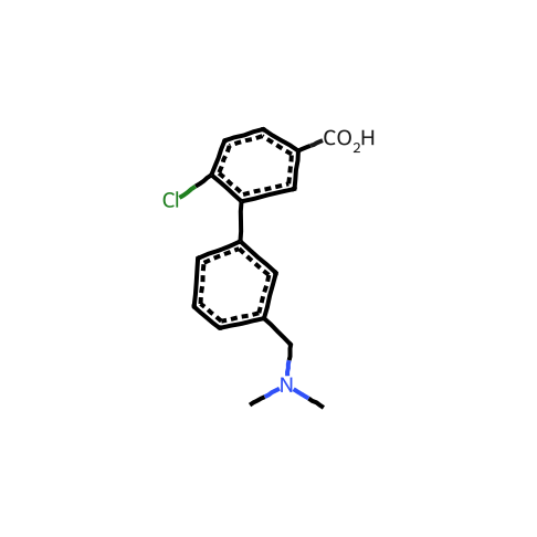 CN(C)Cc1cccc(-c2cc(C(=O)O)ccc2Cl)c1